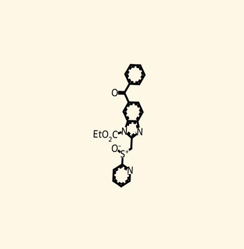 CCOC(=O)n1c(C[S+]([O-])c2ccccn2)nc2ccc(C(=O)c3ccccc3)cc21